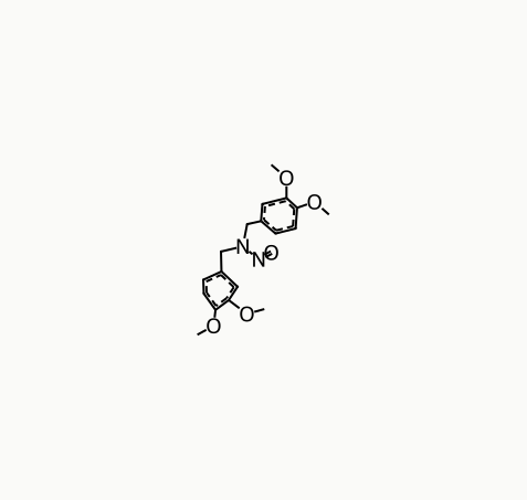 COc1ccc(CN(Cc2ccc(OC)c(OC)c2)N=O)cc1OC